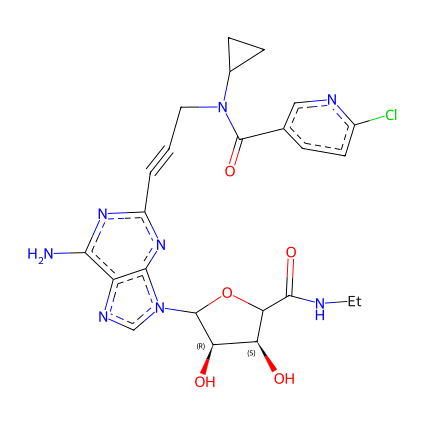 CCNC(=O)C1OC(n2cnc3c(N)nc(C#CCN(C(=O)c4ccc(Cl)nc4)C4CC4)nc32)[C@H](O)[C@@H]1O